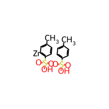 Cc1ccc(S(=O)(=O)O)cc1.Cc1ccc(S(=O)(=O)O)cc1.[Zr]